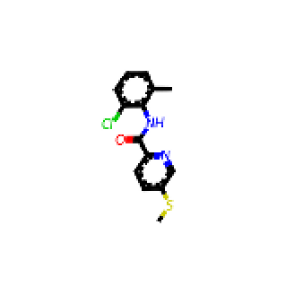 CSc1ccc(C(=O)Nc2c(C)cccc2Cl)nc1